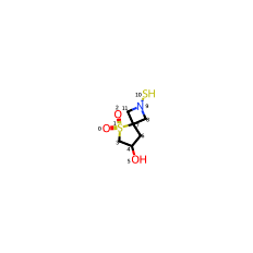 O=S1(=O)CC(O)CC12CN(S)C2